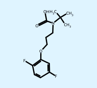 CC(C)(C)N(CCCOc1cc(F)ccc1F)C(=O)O